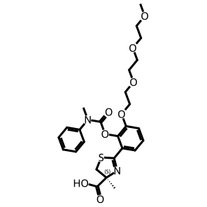 COCCOCCOCCOc1cccc(C2=N[C@@](C)(C(=O)O)CS2)c1OC(=O)N(C)c1ccccc1